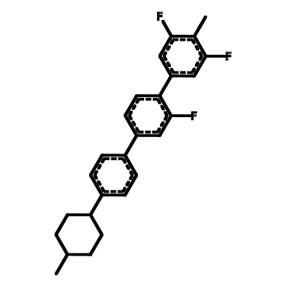 Cc1c(F)cc(-c2ccc(-c3ccc(C4CCC(C)CC4)cc3)cc2F)cc1F